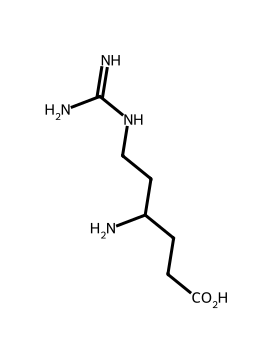 N=C(N)NCCC(N)CCC(=O)O